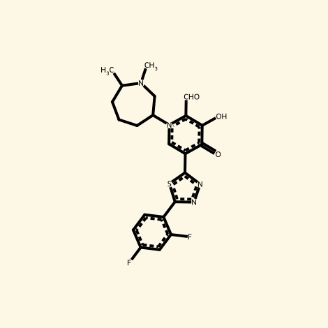 CC1CCCC(n2cc(-c3nnc(-c4ccc(F)cc4F)s3)c(=O)c(O)c2C=O)CN1C